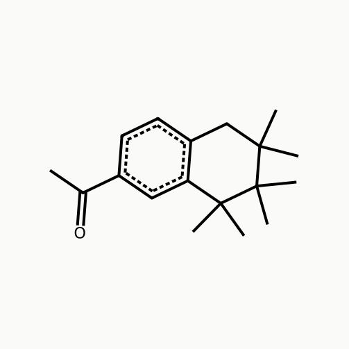 CC(=O)c1ccc2c(c1)C(C)(C)C(C)(C)C(C)(C)C2